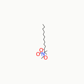 CCCCCCCCCCC1OC(=O)N(C(C)=O)C1(C)C